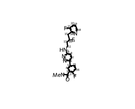 CNC(=O)c1cc(-c2ccc(NCC[C@H](F)Cc3ncccc3F)nn2)ccc1F